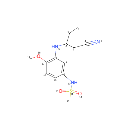 CCC(CC#N)Nc1cc(NS(C)(=O)=O)ccc1OC